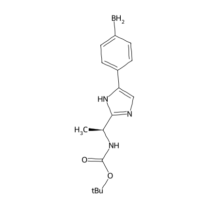 Bc1ccc(-c2cnc([C@H](C)NC(=O)OC(C)(C)C)[nH]2)cc1